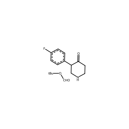 CC(C)(C)OC=O.O=C1CCNCC1c1ccc(F)cc1